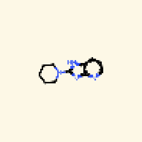 c1cnc2nc(N3CCCCC3)[nH]c2c1